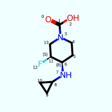 O=C(O)N1CC[C@@H](NC2CC2)[C@@H](F)C1